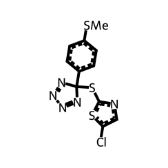 CSc1ccc(C2(Sc3ncc(Cl)s3)N=NN=N2)cc1